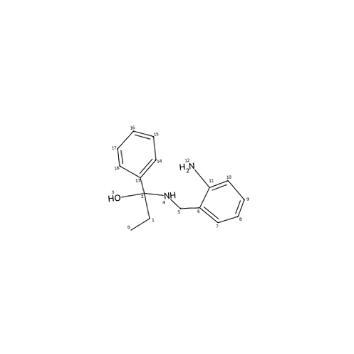 CCC(O)(NCc1ccccc1N)c1ccccc1